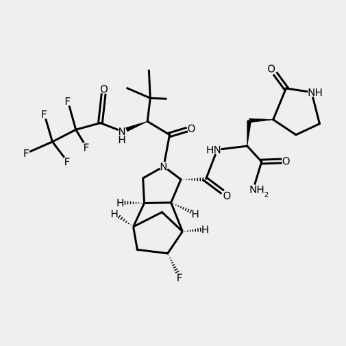 CC(C)(C)[C@H](NC(=O)C(F)(F)C(F)(F)F)C(=O)N1C[C@@H]2[C@H]3C[C@@H]([C@@H]2[C@H]1C(=O)N[C@@H](C[C@@H]1CCNC1=O)C(N)=O)[C@H](F)C3